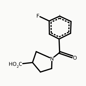 O=C(O)C1CCN(C(=O)c2cc[c]c(F)c2)C1